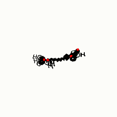 O=C(OCC1CCN(CCCCCCCCNC[C@@H](O)c2ccc(O)c3[nH]c(=O)ccc23)CC1)C(O)(c1ccccc1)C1CCCCC1